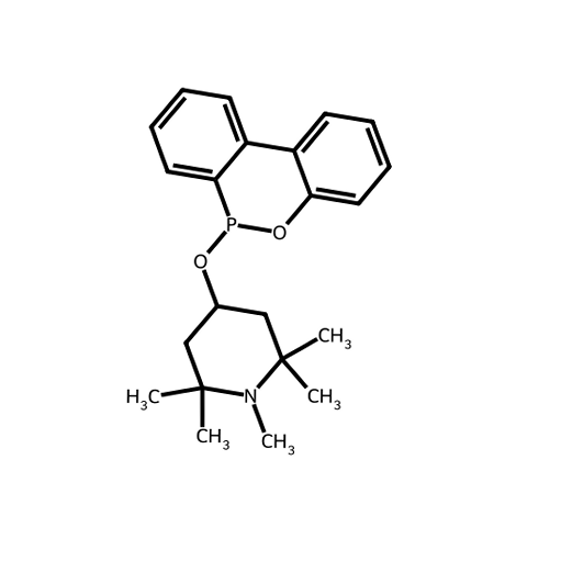 CN1C(C)(C)CC(OP2Oc3ccccc3-c3ccccc32)CC1(C)C